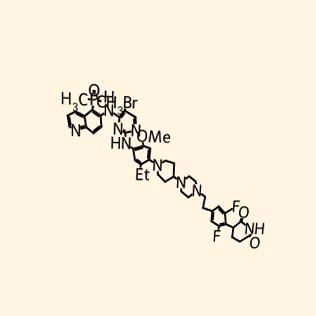 CCc1cc(Nc2ncc(Br)c(Nc3ccc4ncccc4c3P(C)(C)=O)n2)c(OC)cc1N1CCC(N2CCN(CCc3cc(F)c(C4CCC(=O)NC4=O)c(F)c3)CC2)CC1